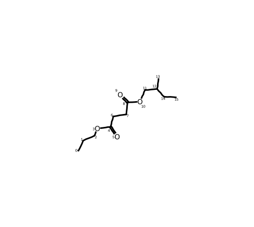 CCCOC(=O)CCC(=O)OCC(C)CC